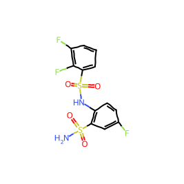 NS(=O)(=O)c1cc(F)ccc1NS(=O)(=O)c1cccc(F)c1F